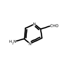 Nc1cnc(C=O)cn1